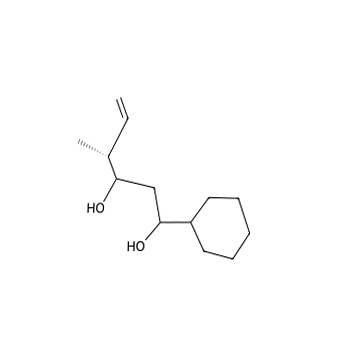 C=C[C@@H](C)C(O)CC(O)C1CCCCC1